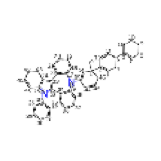 CC1(C2=CCC(C3=CC=CCC3)C=C2)C=C(N2c3ccccc3-c3c4c(n(-c5ccccc5)c3-c3ccccc32)C=CCC4)C=CC1